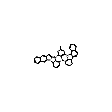 Cc1cc2c3c(c1)-n1c4c(cccc4n4c5cc6ccccc6cc5cc14)B3c1cccc3c4ccc5ccccc5c4n-2c13